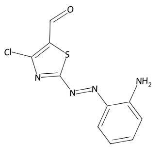 Nc1ccccc1/N=N/c1nc(Cl)c(C=O)s1